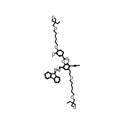 CC#Cc1c(CCOCCCCCCOCC2(CC)COC2)cc(/C=N/N=C2c3ccccc3-c3ccccc32)c(OC(=O)c2ccc(OCCCCCCOCC3(CC)COC3)c(OC)c2)c1F